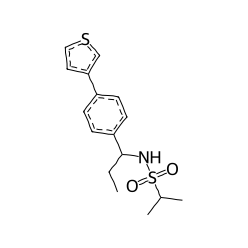 CCC(NS(=O)(=O)C(C)C)c1ccc(-c2ccsc2)cc1